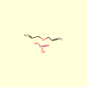 C=CCOCC=C.O=[PH](O)O